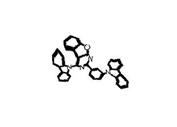 c1cc(-c2nc(-n3c4ccccc4c4ccccc43)c3c(n2)oc2ccccc23)cc(-n2c3ccccc3c3ccccc32)c1